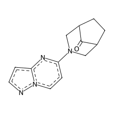 O=C1C2CCC1CN(c1ccn3nccc3n1)C2